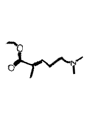 COC(=O)C(C)=CCCN(C)C